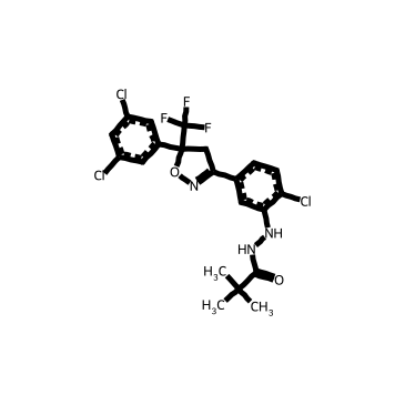 CC(C)(C)C(=O)NNc1cc(C2=NOC(c3cc(Cl)cc(Cl)c3)(C(F)(F)F)C2)ccc1Cl